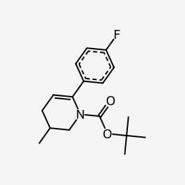 CC1CC=C(c2ccc(F)cc2)N(C(=O)OC(C)(C)C)C1